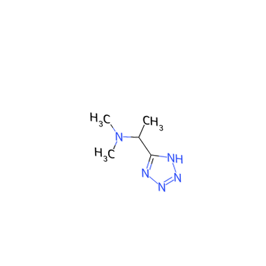 CC(c1nnn[nH]1)N(C)C